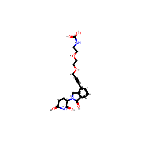 O=C(O)NCCOCCOCC#Cc1cccc2c1CN(C1CCC(=O)NC1=O)C2=O